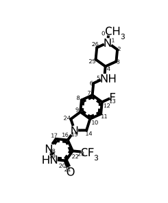 CN1CCC(NCc2cc3c(cc2F)CN(c2cn[nH]c(=O)c2C(F)(F)F)C3)CC1